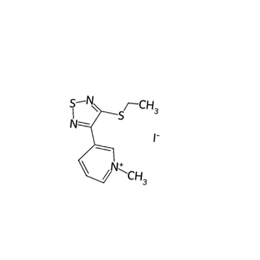 CCSc1nsnc1-c1ccc[n+](C)c1.[I-]